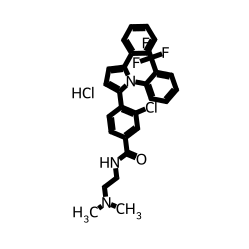 CN(C)CCNC(=O)c1ccc(-c2ccc(-c3ccccc3)n2-c2ccccc2C(F)(F)F)c(Cl)c1.Cl